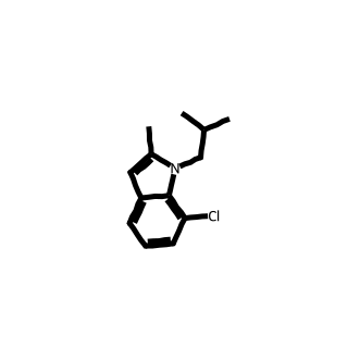 Cc1cc2cccc(Cl)c2n1CC(C)C